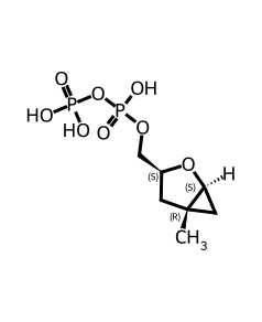 C[C@@]12C[C@@H](COP(=O)(O)OP(=O)(O)O)O[C@H]1C2